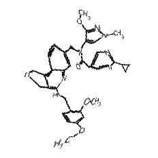 COc1ccc(CNc2nc3cc(CN(C(=O)c4cnc(C5CC5)nc4)c4cn(C)nc4OC)ccc3c3c2COC3)c(OC)c1